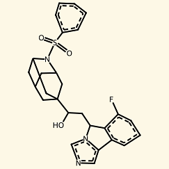 O=S(=O)(c1ccccc1)N1C2CC3CC1CC(C(O)CC1c4c(F)cccc4-c4cncn41)(C3)C2